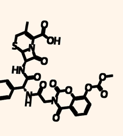 COC(=O)Oc1cccc2c(=O)n(CC(=O)N[C@@H](C(=O)N[C@@H]3C(=O)N4C(C(=O)O)=C(C)CSC34)c3ccccc3)c(=O)oc12